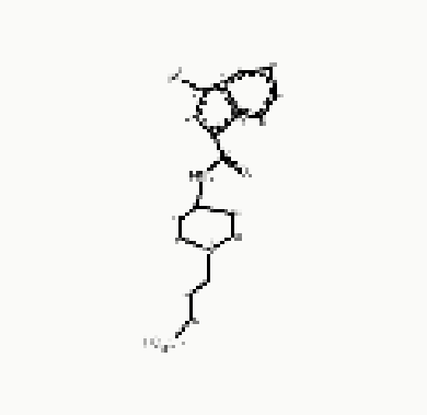 CC(C)n1nc(C(=O)NC2CCN(CCCC(=O)O)CC2)c2ccccc21